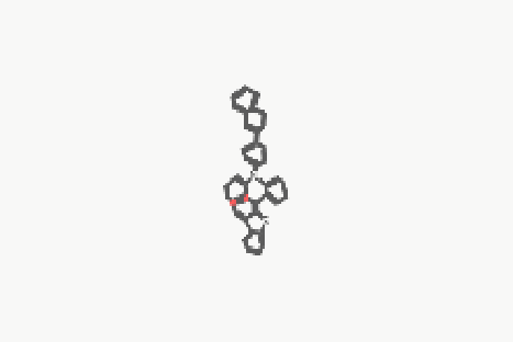 c1ccc(N(c2ccc(-c3ccc4ccccc4c3)cc2)c2ccccc2-c2cccc3c2sc2ccccc23)cc1